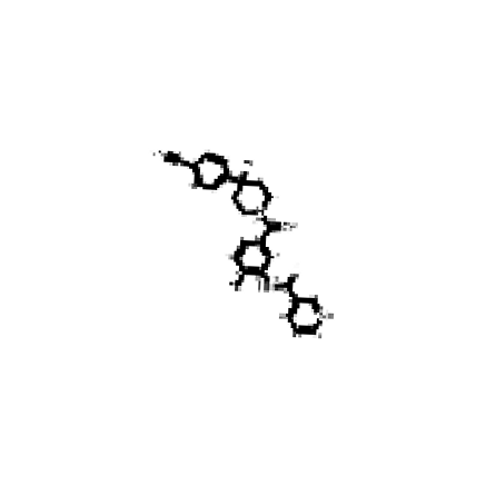 N#Cc1ccc(C2(F)CCN(C(=O)c3ccc(Cl)c(NC(=O)c4cccnc4)c3)CC2)cc1